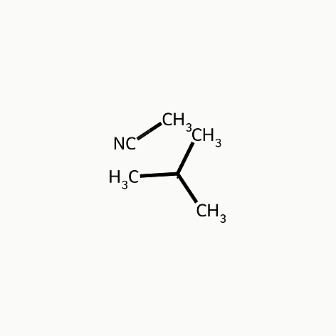 CC#N.C[C](C)C